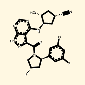 N#C[C@H]1C[C@@H](O)[C@H](Nc2ncnc3[nH]nc(C(=O)N4C[C@@H](F)C[C@@H]4c4cc(F)cc(Cl)c4)c23)C1